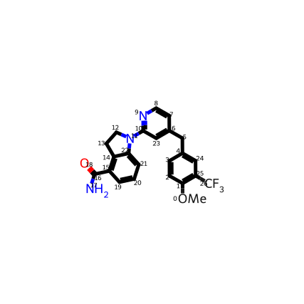 COc1ccc(Cc2ccnc(N3CCc4c(C(N)=O)cccc43)c2)cc1C(F)(F)F